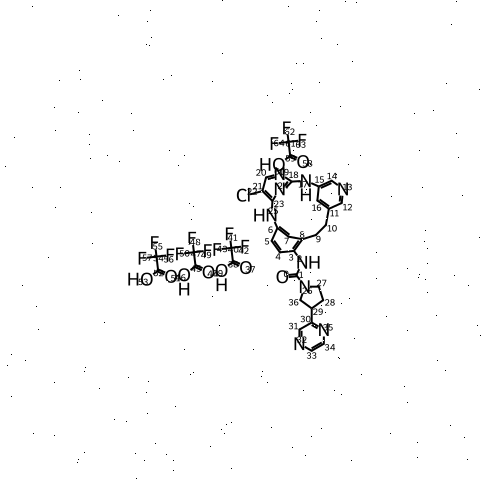 O=C(Nc1ccc2cc1CCc1cncc(c1)Nc1ncc(Cl)c(n1)N2)N1CCC(c2cnccn2)C1.O=C(O)C(F)(F)F.O=C(O)C(F)(F)F.O=C(O)C(F)(F)F.O=C(O)C(F)(F)F